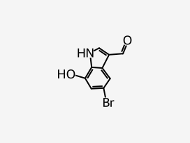 O=Cc1c[nH]c2c(O)cc(Br)cc12